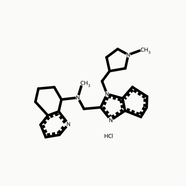 CN1CCC(Cn2c(CN(C)C3CCCc4cccnc43)nc3ccccc32)C1.Cl